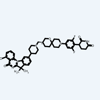 CC1(C)c2ccc(C3CCN(C[C@@H]4CCC5(CCN(c6cc(F)c(C7CCC(=O)NC7=O)c(F)c6)CC5)OC4)CC3)cc2-n2c1nc(=O)c1c(Cl)cccc12